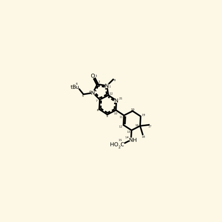 Cn1c(=O)n(CC(C)(C)C)c2ccc(C3=CC(NC(=O)O)C(C)(C)CC3)nc21